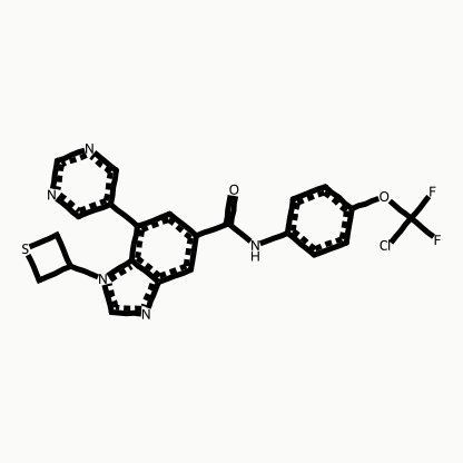 O=C(Nc1ccc(OC(F)(F)Cl)cc1)c1cc(-c2cncnc2)c2c(c1)ncn2C1CSC1